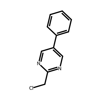 ClCc1ncc(-c2ccccc2)cn1